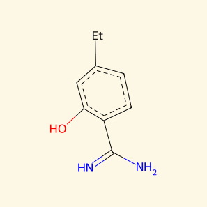 CCc1ccc(C(=N)N)c(O)c1